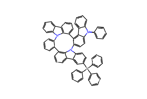 c1ccc(-n2c3ccccc3c3c4c5cccc6c7ccccc7n(c7ccccc7c7cccc8c9cc([Si](c%10ccccc%10)(c%10ccccc%10)c%10ccccc%10)ccc9n(c4ccc32)c78)c65)cc1